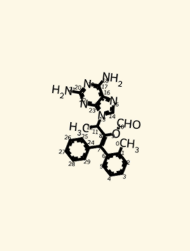 Cc1ccccc1/C(=C(\OC=O)C(C)n1cnc2c(N)nc(N)nc21)c1ccccc1